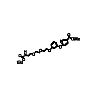 COC(=O)c1ccc(Oc2cccc(OCCOCCOCCNC(=O)OC(C)(C)C)c2)nc1